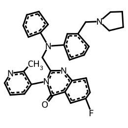 Cc1ncccc1-n1c(CN(c2ccccc2)c2cccc(CN3CCCC3)c2)nc2ccc(F)cc2c1=O